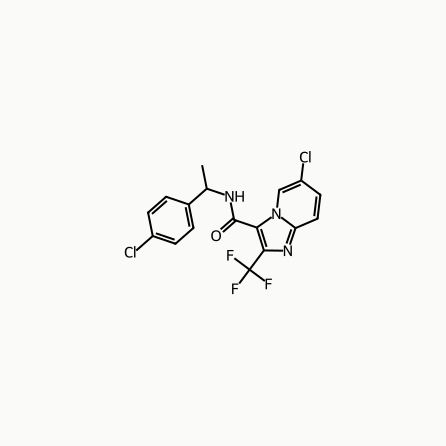 CC(NC(=O)c1c(C(F)(F)F)nc2ccc(Cl)cn12)c1ccc(Cl)cc1